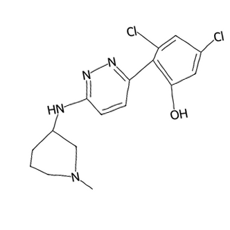 CN1CCCC(Nc2ccc(-c3c(O)cc(Cl)cc3Cl)nn2)C1